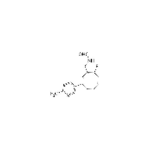 O=CNCC1=C(F)/C=C\CC/C(c2ccc(C(F)(F)F)nc2)=C\1